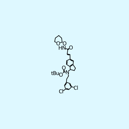 CC(C)(C)OC(=O)N(CCc1cc(Cl)cc(Cl)c1)C1CCc2cc(/C=C/C(=O)NOC3CCCCO3)ccc21